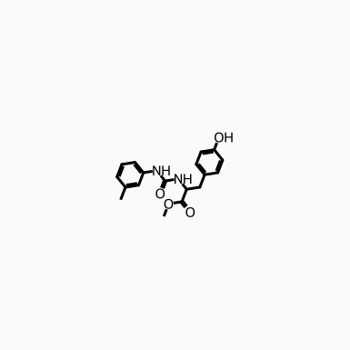 COC(=O)C(Cc1ccc(O)cc1)NC(=O)Nc1cccc(C)c1